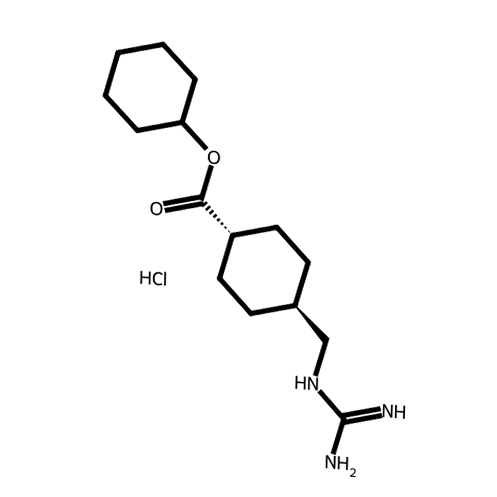 Cl.N=C(N)NC[C@H]1CC[C@H](C(=O)OC2CCCCC2)CC1